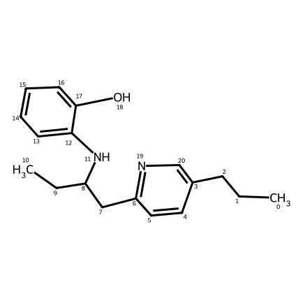 CCCc1ccc(CC(CC)Nc2ccccc2O)nc1